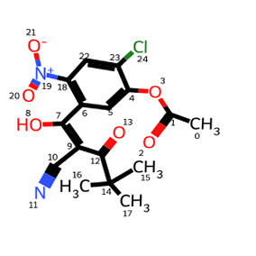 CC(=O)Oc1cc(C(O)=C(C#N)C(=O)C(C)(C)C)c([N+](=O)[O-])cc1Cl